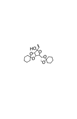 C=CC1(O)O[C@@H]([C@H]2COC3(CCCCC3)O2)C2OC3(CCCCC3)OC21